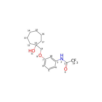 O=C(Nc1cccc(OCC2(O)CCCCCC2)c1)C(F)(F)F